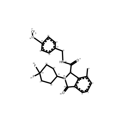 Cc1cccc2c1C(C(=O)NCc1ccc(OC(F)(F)F)cc1)N(C1CCC(F)(F)CC1)C2=O